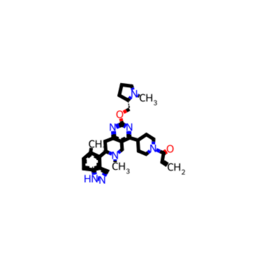 C=CC(=O)N1CCC(c2nc(OC[C@@H]3CCCN3C)nc3c2CN(C)C(c2c(C)ccc4[nH]ncc24)C3)CC1